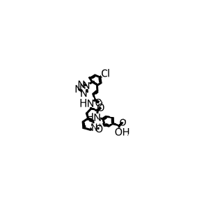 O=C(/C=C/c1cc(Cl)ccc1-n1cnnn1)NC(Cc1ccc[n+]([O-])c1)C(=O)Nc1ccc(C(=O)O)cc1